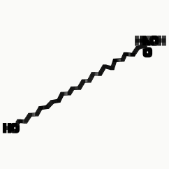 O=C(CCCCCCCCCCCCCCCCCCCCCCCO)NO